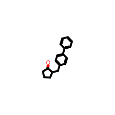 O=C1CCCC1Cc1ccc(-c2ccccc2)cc1